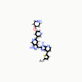 CC(=O)c1ccc(-c2ccnc3[nH]c(-c4n[nH]c5cnc(-c6cncc(OC7CCNCC7)c6)cc45)nc23)s1